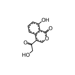 O=C(CO)c1coc(=O)c2c(O)cccc12